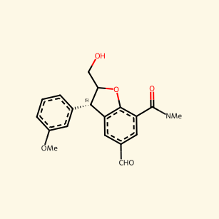 CNC(=O)c1cc(C=O)cc2c1OC(CO)[C@H]2c1cccc(OC)c1